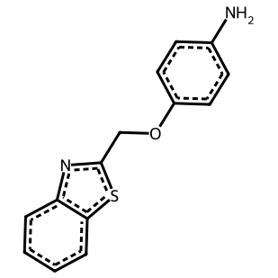 Nc1ccc(OCc2nc3ccccc3s2)cc1